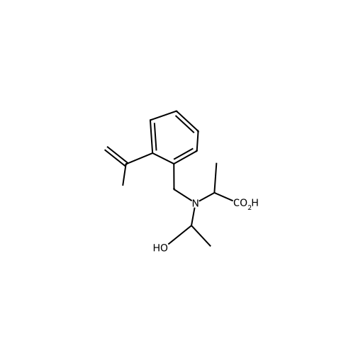 C=C(C)c1ccccc1CN(C(C)O)C(C)C(=O)O